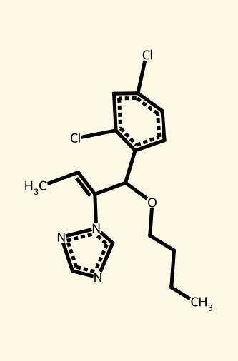 CC=C(C(OCCCC)c1ccc(Cl)cc1Cl)n1cncn1